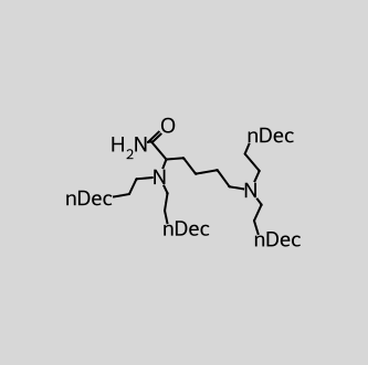 CCCCCCCCCCCCN(CCCCCCCCCCCC)CCCCC(C(N)=O)N(CCCCCCCCCCCC)CCCCCCCCCCCC